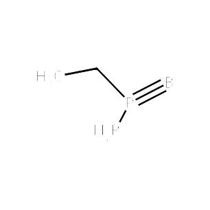 B#P(P)CC